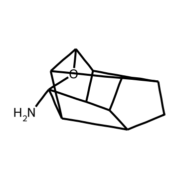 NC12OC3C4C5CC(C6C5C3C61)C42